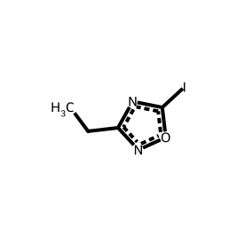 CCc1noc(I)n1